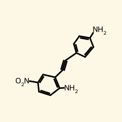 Nc1ccc(C#Cc2cc([N+](=O)[O-])ccc2N)cc1